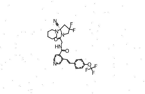 N#C[C@]1(N2CCCCC2)CC(F)(F)CN1C(=O)CNC(=O)c1ccncc1/C=C/c1ccc(OC(F)(F)F)cc1